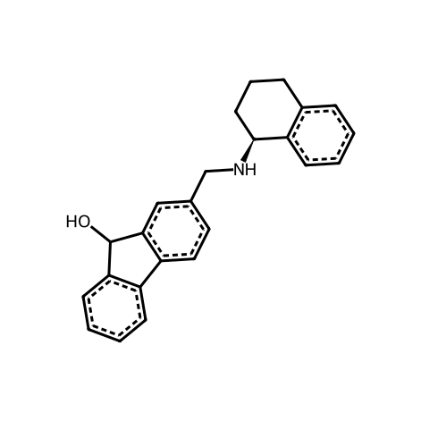 OC1c2ccccc2-c2ccc(CN[C@H]3CCCc4ccccc43)cc21